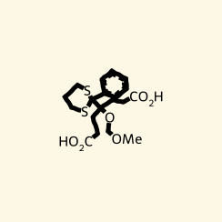 COCOC(CCC(=O)O)(CCC(=O)O)C1(c2ccccc2)SCCCS1